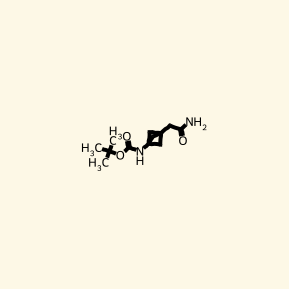 CC(C)(C)OC(=O)NC12CC(CC(N)=O)(C1)C2